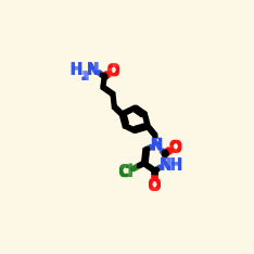 NC(=O)CCCc1ccc(Cn2cc(Cl)c(=O)[nH]c2=O)cc1